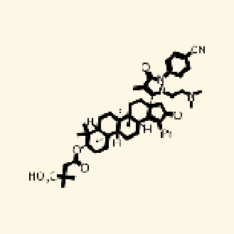 Cc1c([C@@]23CC[C@]4(C)[C@H](CC[C@@H]5[C@@]6(C)CC[C@H](OC(=O)CC(C)(C)C(=O)O)C(C)(C)[C@@H]6CC[C@]54C)C2=C(C(C)C)C(=O)C3)n(CCN(C)C)n(-c2ccc(C#N)cc2)c1=O